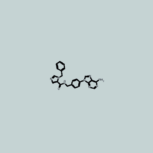 Nc1ncnc2c1ncn2-c1ccc(CNC(=O)c2cncn2Cc2ccccc2)cc1